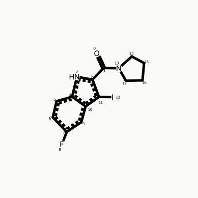 O=C(c1[nH]c2ccc(F)cc2c1I)N1CCCC1